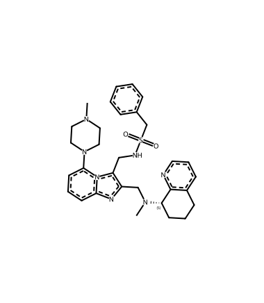 CN1CCN(c2cccc3nc(CN(C)[C@H]4CCCc5cccnc54)c(CNS(=O)(=O)Cc4ccccc4)n23)CC1